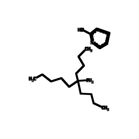 CCCCCC(P)(CCCC)CCCC.Oc1ccccn1